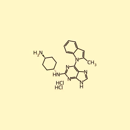 Cc1cc2ccccc2n1-c1nc(N[C@H]2CC[C@H](N)CC2)nc2[nH]cnc12.Cl.Cl